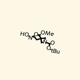 COC(=O)C1(C/C=N/O)CN(C(=O)OC(C)(C)C)C1